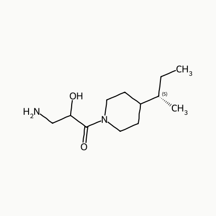 CC[C@H](C)C1CCN(C(=O)C(O)CN)CC1